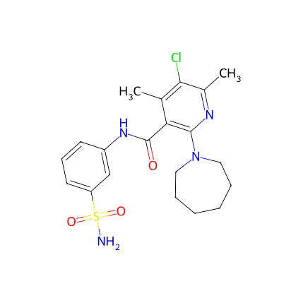 Cc1nc(N2CCCCCC2)c(C(=O)Nc2cccc(S(N)(=O)=O)c2)c(C)c1Cl